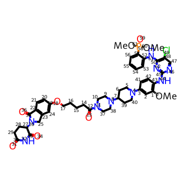 COc1cc(N2CCC(N3CCN(C(=O)CCCCOc4ccc5c(c4)CN(C4CCC(=O)NC4=O)C5=O)CC3)CC2)ccc1Nc1ncc(Cl)c(Nc2ccccc2P(=O)(OC)OC)n1